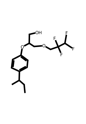 CCC(C)c1ccc(OC(CO)COCC(F)(F)C(F)F)cc1